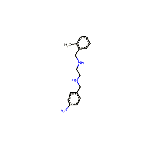 Cc1ccccc1CNCCNCc1ccc(N)cc1